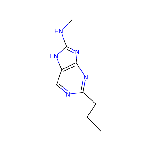 CCCc1ncc2[nH]c(NC)nc2n1